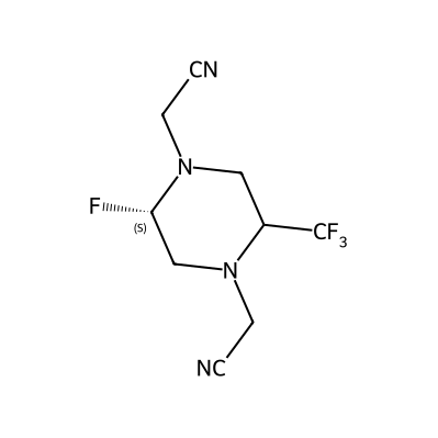 N#CCN1C[C@H](F)N(CC#N)CC1C(F)(F)F